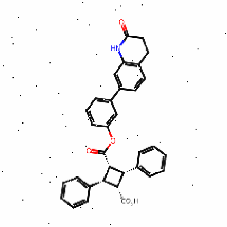 O=C1CCc2ccc(-c3cccc(OC(=O)[C@H]4[C@H](c5ccccc5)[C@@H](C(=O)O)[C@H]4c4ccccc4)c3)cc2N1